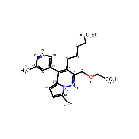 CCOC(=O)CCCCc1c(COCC(=O)O)nn2c(CC)ccc2c1-c1cncc(C)c1